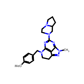 COc1ccc(CN2CCc3nn(C)c4nc(N5CCN6CCCC6C5)nc2c34)cc1